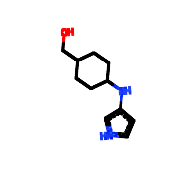 OCC1CCC(Nc2cc[nH]c2)CC1